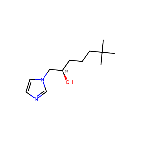 CC(C)(C)CCC[C@@H](O)Cn1ccnc1